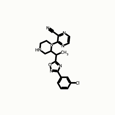 CC(c1nc(-c2cccc(Cl)c2)no1)C1CNCCN1c1nccnc1C#N